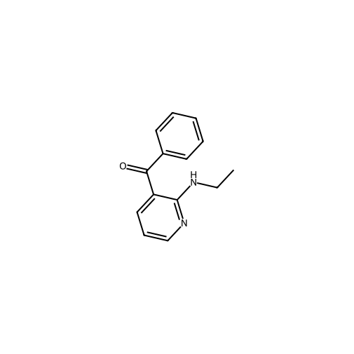 CCNc1ncccc1C(=O)c1ccccc1